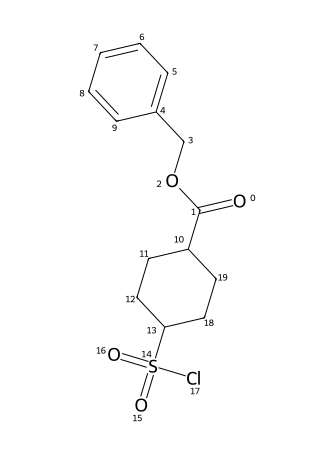 O=C(OCc1ccccc1)C1CCC(S(=O)(=O)Cl)CC1